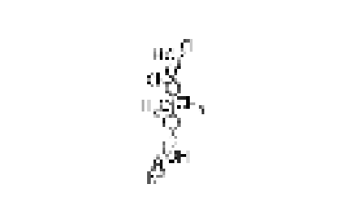 CC(C)(c1ccc(OC[C@H](O)Cn2ccnc2)cc1)c1ccc(OC[C@H](O)CCl)c(Cl)c1